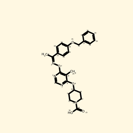 CC(=NOc1ncnc(OC2CCN(C(=O)O)CC2)c1C)c1ccc(OCc2ccccc2)cc1